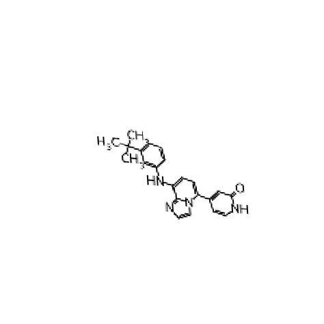 CC(C)(C)c1cccc(Nc2ccc(-c3cc[nH]c(=O)c3)n3ccnc23)c1